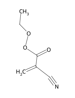 C=C(C#N)C(=O)OOCC